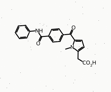 Cn1c(CC(=O)O)ccc1C(=O)c1ccc(C(=O)Nc2ccccc2)cc1